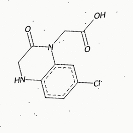 O=C(O)CN1C(=O)CNc2ccc(Cl)cc21